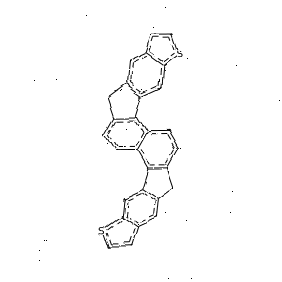 c1cc2cc3c(cc2s1)-c1c(ccc2c4c(ccc12)Cc1cc2ccsc2cc1-4)C3